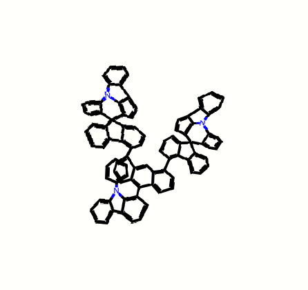 c1ccc(-n2c3ccccc3c3cccc(-c4c5cccc(-c6cccc7c6-c6ccccc6C76c7ccccc7-n7c8ccccc8c8cccc6c87)c5cc5c(-c6cccc7c6-c6ccccc6C76c7ccccc7-n7c8ccccc8c8cccc6c87)cccc45)c32)cc1